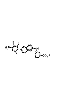 Cc1cc(N)c(F)c(F)c1-c1ccc2nc(N[C@H]3CCCN(C(=O)O)C3)ncc2c1